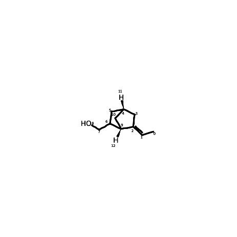 CC=C1C[C@H]2CC(CO)[C@@H]1C2